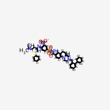 CN(C)CC[C@H](CSc1ccccc1)Nc1ccc(S(=O)(=O)NC(=O)c2ccc3c(c2)CC[C@H]2CN(Cc4ccccc4-c4ccccc4)CCN32)cc1[N+](=O)[O-]